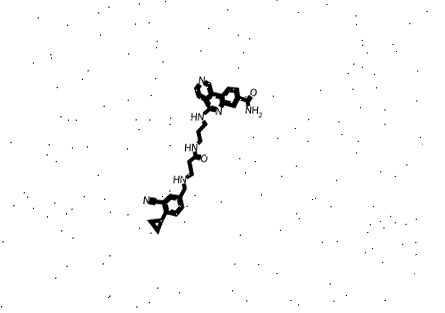 N#Cc1cc(CNCCC(=O)NCCCNc2nc3cc(C(N)=O)ccc3c3cnccc23)ccc1C1CC1